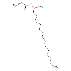 C=CC(=O)OC(C)CCCCCCCCCCCCCC